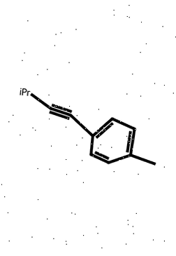 Cc1ccc(C#CC(C)C)cc1